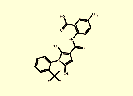 Cc1ccc(NC(=O)c2cc(C)n(-c3ccccc3C(F)(F)F)c2C)c(C(=O)O)c1